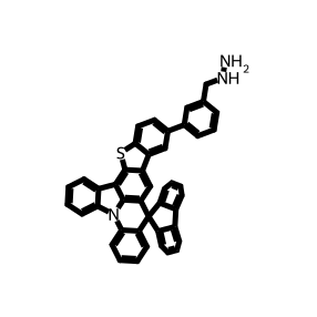 NNCc1cccc(-c2ccc3sc4c(cc5c6c4c4ccccc4n6-c4ccccc4C54c5ccccc5-c5ccccc54)c3c2)c1